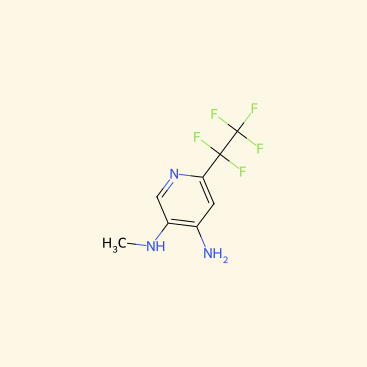 CNc1cnc(C(F)(F)C(F)(F)F)cc1N